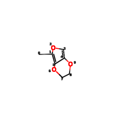 Cc1occ2c1OCCO2